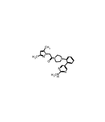 CNc1ncc(-c2ccccc2N2CCN(C(=O)Cn3nc(C)cc3C)CC2)cn1